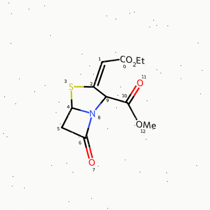 CCOC(=O)C=C1SC2CC(=O)N2C1C(=O)OC